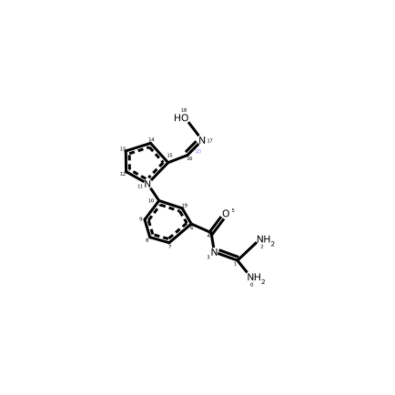 NC(N)=NC(=O)c1cccc(-n2cccc2/C=N\O)c1